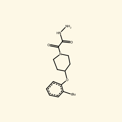 CC(C)(C)c1ccccc1OC1CCN(C(=O)C(=O)NN)CC1